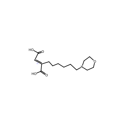 O=C(O)/C=C(\CCCCCCN1CCOCC1)C(=O)O